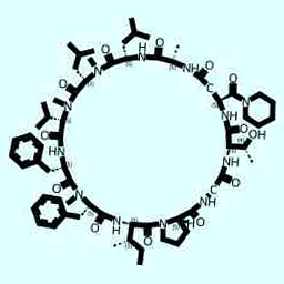 CC[C@H](C)[C@@H]1NC(=O)[C@H](Cc2ccccc2)N(C)C(=O)[C@H](Cc2ccccc2)NC(=O)[C@H](C(C)C)N(C)C(=O)[C@H](CC(C)C)N(C)C(=O)[C@H](CC(C)C)NC(=O)[C@H](C)NC(=O)C[C@@H](C(=O)N2CCCCC2)NC(=O)[C@H]([C@@H](C)O)NC(=O)CNC(=O)[C@@H]2CCCN2C1=O